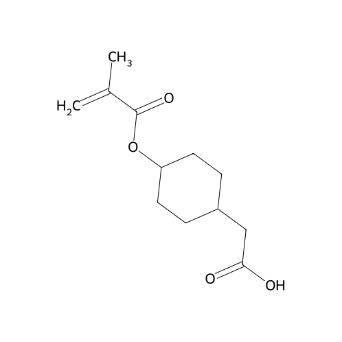 C=C(C)C(=O)OC1CCC(CC(=O)O)CC1